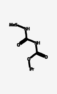 CSNC(=O)NC(=O)OC(C)C